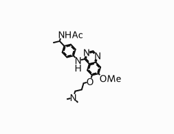 COc1cc2ncnc(Nc3ccc(C(C)NC(C)=O)cc3)c2cc1OCCCN(C)C